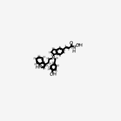 O=C(C=Cc1ccc2c(c1)CCC2N(CCc1c[nH]c2ccccc12)Cc1ccc(O)cc1)NO